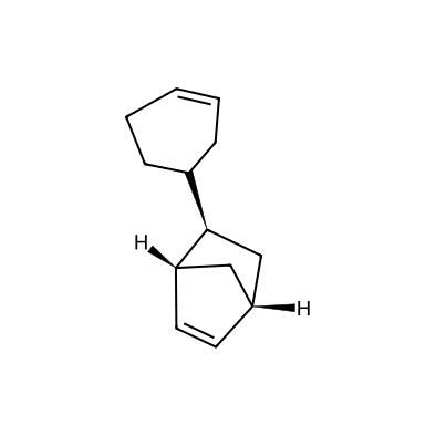 C1=CCC([C@H]2C[C@@H]3C=C[C@H]2C3)CC1